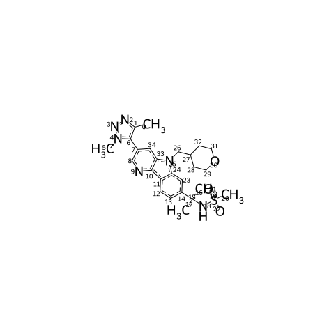 Cc1nnn(C)c1-c1cnc2c3ccc(C(C)(C)NS(C)(=O)=O)cc3n(CC3CCOCC3)c2c1